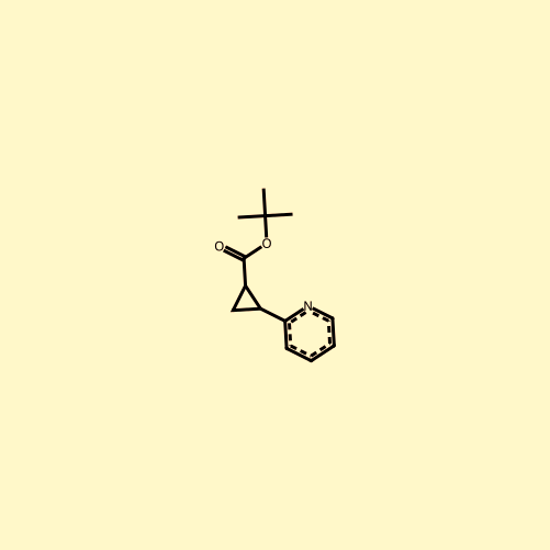 CC(C)(C)OC(=O)C1CC1c1ccccn1